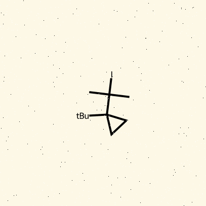 CC(C)(C)C1(C(C)(C)I)CC1